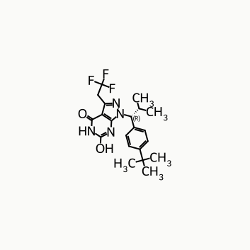 CC(C)[C@H](c1ccc(C(C)(C)C)cc1)n1nc(CC(F)(F)F)c2c(=O)[nH]c(O)nc21